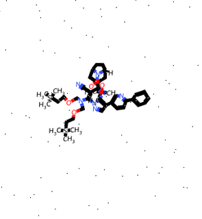 CC(C)(C)OC(=O)N1C2CC[C@@H]1CC(c1nc3c(-c4ccc(-c5ccccc5)nc4)cnn3c(N(COCC[Si](C)(C)C)COCC[Si](C)(C)C)c1C#N)C2